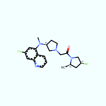 CN(c1cc(F)cc2ncccc12)[C@H]1CCN(CC(=O)N2C[C@@H](F)C[C@H]2C#N)C1